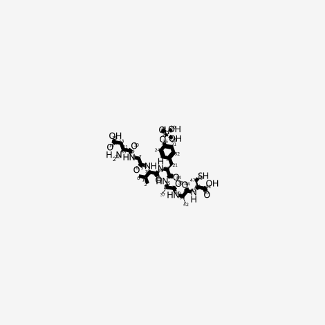 CC(C)[C@H](NC(=O)CNC(=O)[C@@H](N)CC(=O)O)C(=O)N[C@@H](Cc1ccc(OP(=O)(O)O)cc1)C(=O)N[C@@H](C)C(=O)N[C@@H](C)C(=O)N[C@@H](CS)C(=O)O